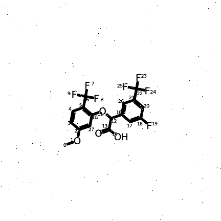 COc1ccc(C(F)(F)F)c(OC(C(=O)O)c2cc(F)cc(C(F)(F)F)c2)c1